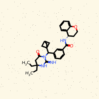 CCC1(CC)CC(=O)N(C(c2cccc(C(=O)N[C@H]3CCOc4ccccc43)c2)C23CC(C2)C3)C(=N)N1